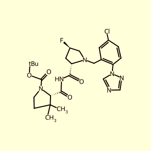 CC(C)(C)OC(=O)N1CCC(C)(C)[C@H]1C(=O)NC(=O)[C@@H]1C[C@@H](F)CN1Cc1cc(Cl)ccc1-n1cncn1